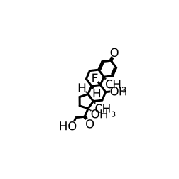 C[C@]12C=CC(=O)C=C1CC[C@H]1[C@@H]3CC[C@](O)(C(=O)CO)[C@@]3(C)CC(O)C12F